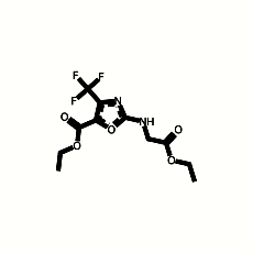 CCOC(=O)CNc1nc(C(F)(F)F)c(C(=O)OCC)o1